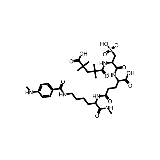 CNC(=O)C(CCCCNC(=O)c1ccc(NC)cc1)NC(=O)CCC(NC(=O)C(CS(=O)(=O)O)NC(=O)C(C)(C)CC(C)(C)C(=O)O)C(=O)O